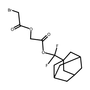 O=C(CBr)OCC(=O)OC(F)(F)C12CC3CC(CC(C3)C1)C2